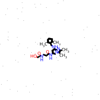 Cc1cccc(C)c1CNc1cc(NC(=O)CCNC(=O)CO)cn2c(C)c(C)nc12